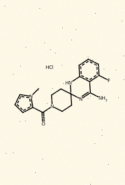 Cl.Cn1cccc1C(=O)N1CCC2(CC1)N=C(N)c1c(F)cccc1N2